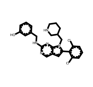 Oc1cccc(CNc2ncc3cc(-c4c(Cl)cccc4Cl)n(CC4CCCNC4)c3n2)c1